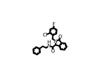 O=C(NCCc1ccccc1)C1c2ccccc2C(=O)N1Cc1ccc(F)cc1Cl